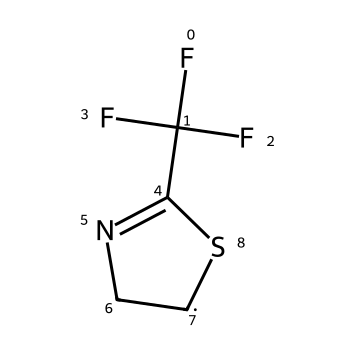 FC(F)(F)C1=NC[CH]S1